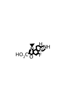 O=C(O)c1cn(C2CC2)c2c3c(c(F)cc2c1=O)N1CCNC[C@H]1CC3